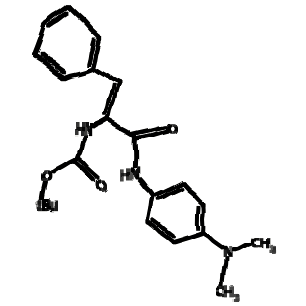 CN(C)c1ccc(NC(=O)C(=Cc2ccccc2)NC(=O)OC(C)(C)C)cc1